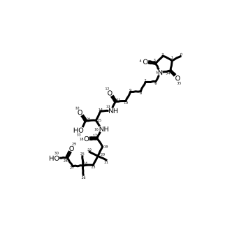 CC1CC(=O)N(CCCCCC(=O)NCC(NC(=O)CC(C)(C)CC(C)(C)CC(=O)O)C(=O)O)C1=O